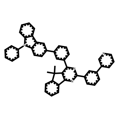 CC1(C)c2ccccc2-c2nc(-c3cccc(-c4cccnc4)c3)nc(-c3cccc(-c4ccc5c(c4)c4ccccc4n5-c4ccccc4)c3)c21